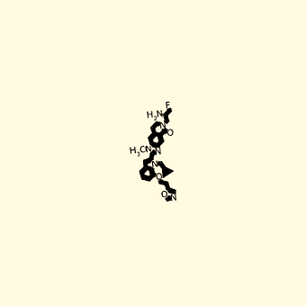 Cn1c(-c2cc3cccc(OCCc4cnco4)c3n2CC2CC2)nc2cc3c(cc21)CCN(C[C@H](N)CF)C3=O